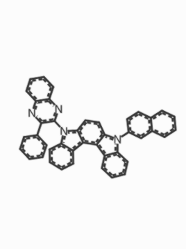 c1ccc(-c2nc3ccccc3nc2-n2c3ccccc3c3c4c5ccccc5n(-c5ccc6ccccc6c5)c4ccc32)cc1